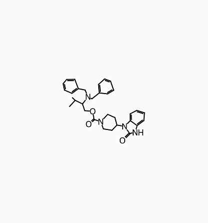 CC(C)C(COC(=O)N1CCC(n2c(=O)[nH]c3ccccc32)CC1)N(Cc1ccccc1)Cc1ccccc1